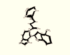 Cc1cccc2oc([C@H]3c4nc[nH]c4CCN3C(=O)CCc3nccs3)cc12